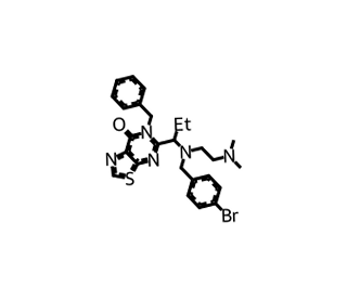 CCC(c1nc2scnc2c(=O)n1Cc1ccccc1)N(CCN(C)C)Cc1ccc(Br)cc1